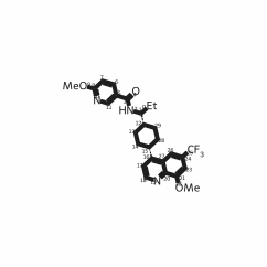 CCC(NC(=O)c1ccc(OC)nc1)[C@H]1CC[C@@H](c2ccnc3c(OC)cc(C(F)(F)F)cc32)CC1